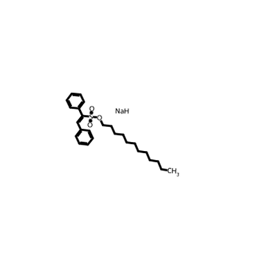 CCCCCCCCCCCCOS(=O)(=O)C(=Cc1ccccc1)c1ccccc1.[NaH]